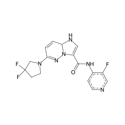 O=C(Nc1ccncc1F)C1=CNC2C=CC(N3CCC(F)(F)C3)=NN12